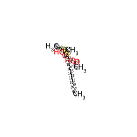 CCC(=O)O.CCCCCCCCCCCCCCCCCCSC(C)(SCCCC)C(=O)O